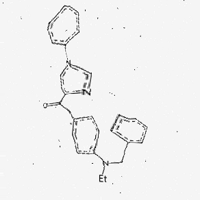 CCN(Cc1ccccc1)c1ccc(C(=O)c2cn(-c3ccccc3)cn2)cc1